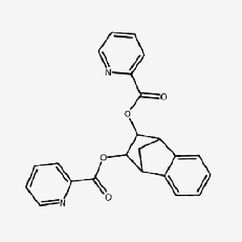 O=C(OC1C2CC(c3ccccc32)C1OC(=O)c1ccccn1)c1ccccn1